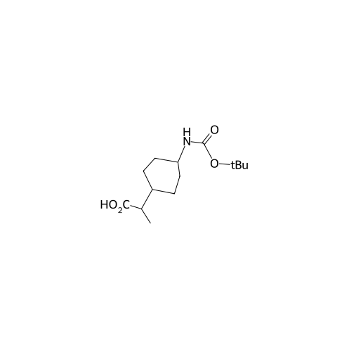 CC(C(=O)O)C1CCC(NC(=O)OC(C)(C)C)CC1